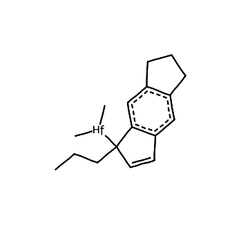 CCC[C]1([Hf]([CH3])[CH3])C=Cc2cc3c(cc21)CCC3